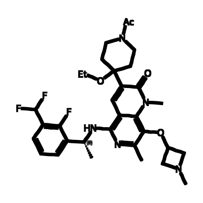 CCOC1(c2cc3c(N[C@H](C)c4cccc(C(F)F)c4F)nc(C)c(OC4CN(C)C4)c3n(C)c2=O)CCN(C(C)=O)CC1